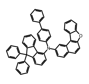 c1ccc(-c2ccc(N(c3ccc4ccc5oc6ccccc6c5c4c3)c3cccc4c3-c3ccccc3C4(c3ccccc3)c3ccccc3)cc2)cc1